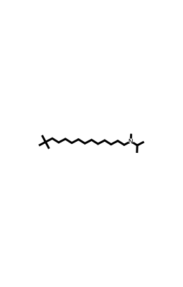 CC(C)N(C)CCCCCCCCCCCCC(C)(C)C